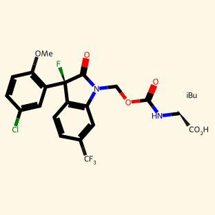 CC[C@H](C)[C@H](NC(=O)OCN1C(=O)[C@@](F)(c2cc(Cl)ccc2OC)c2ccc(C(F)(F)F)cc21)C(=O)O